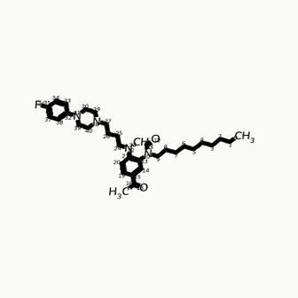 CCCCCCCCCCN(C=O)c1cc(C(C)=O)ccc1N(C)CCCCN1CCN(c2ccc(F)cc2)CC1